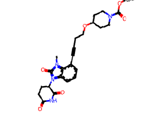 Cn1c(=O)n(C2CCC(=O)NC2=O)c2cccc(C#CCCOC3CCN(C(=O)OC(C)(C)C)CC3)c21